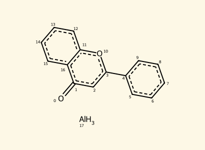 O=c1cc(-c2ccccc2)oc2ccccc12.[AlH3]